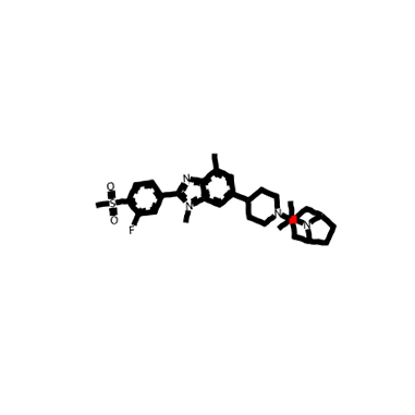 Cc1cc(C2CCN(C3CC4CCC(C3)N4C(C)C)CC2)cc2c1nc(-c1ccc(S(C)(=O)=O)c(F)c1)n2C